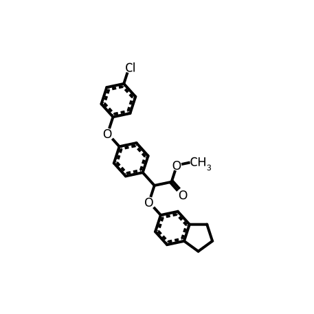 COC(=O)C(Oc1ccc2c(c1)CCC2)c1ccc(Oc2ccc(Cl)cc2)cc1